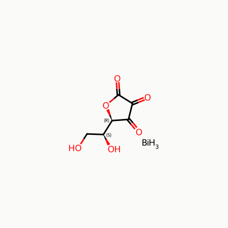 O=C1O[C@H]([C@@H](O)CO)C(=O)C1=O.[BiH3]